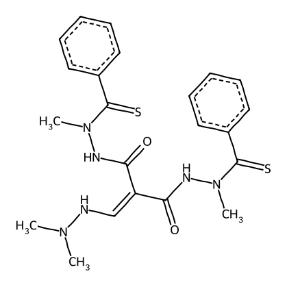 CN(C)NC=C(C(=O)NN(C)C(=S)c1ccccc1)C(=O)NN(C)C(=S)c1ccccc1